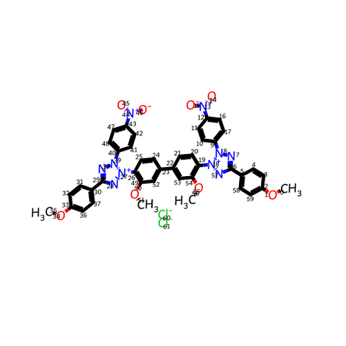 COc1ccc(-c2nn(-c3ccc([N+](=O)[O-])cc3)[n+](-c3ccc(-c4ccc(-[n+]5nc(-c6ccc(OC)cc6)nn5-c5ccc([N+](=O)[O-])cc5)c(OC)c4)cc3OC)n2)cc1.[Cl-].[Cl-]